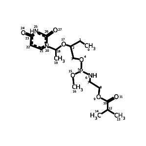 CCC(COP(NCCOC(=O)C(C)C)OC)OC(C)n1ccc(=O)[nH]c1=O